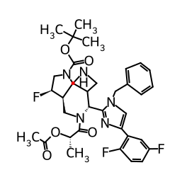 CC(=O)O[C@@H](C)C(=O)N(C[C@@H]1CN(C(=O)OC(C)(C)C)C[C@@H]1F)[C@@H](c1nc(-c2cc(F)ccc2F)cn1Cc1ccccc1)C1CNC1